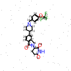 O=C1CCC(N2Cc3cc(C4CCN(Cc5ccc(OC(F)(F)F)cc5)CC4)ccc3C2=O)C(=O)N1